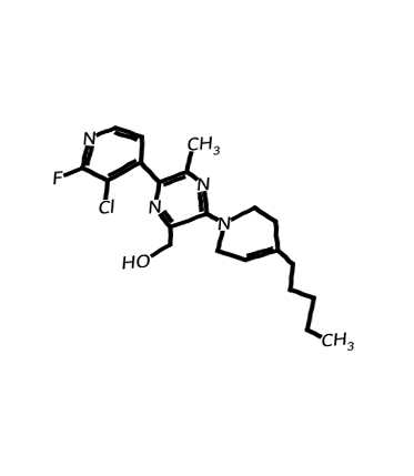 CCCCCC1=CCN(c2nc(C)c(-c3ccnc(F)c3Cl)nc2CO)CC1